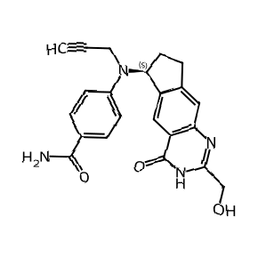 C#CCN(c1ccc(C(N)=O)cc1)[C@H]1CCc2cc3nc(CO)[nH]c(=O)c3cc21